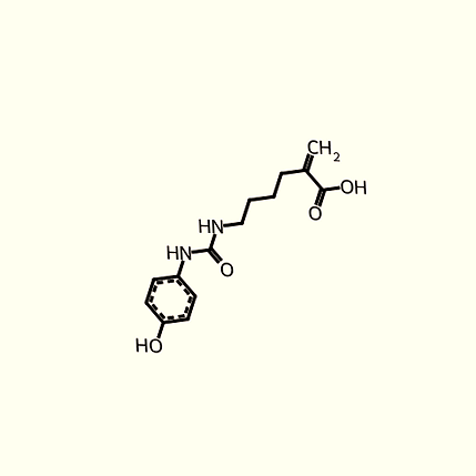 C=C(CCCCNC(=O)Nc1ccc(O)cc1)C(=O)O